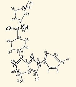 Cc1ccc(-n2nc3c(N4CCC(C(=O)N[C@@H]5CCN(C)C5)CC4)nnc(C)c3c2C)cc1